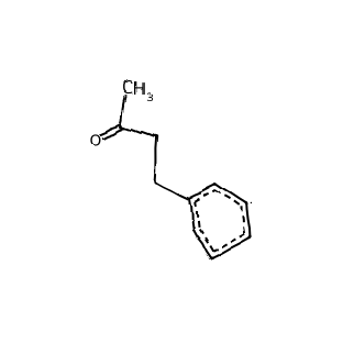 CC(=O)CCc1c[c]ccc1